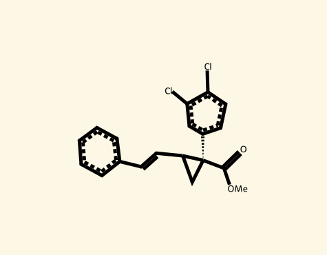 COC(=O)[C@@]1(c2ccc(Cl)c(Cl)c2)CC1/C=C/c1ccccc1